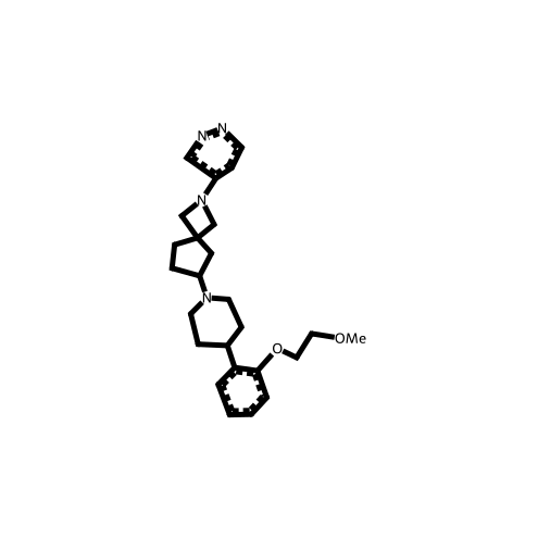 COCCOc1ccccc1C1CCN(C2CCC3(C2)CN(c2ccnnc2)C3)CC1